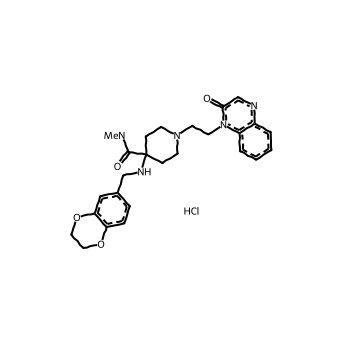 CNC(=O)C1(NCc2ccc3c(c2)OCCO3)CCN(CCn2c(=O)cnc3ccccc32)CC1.Cl